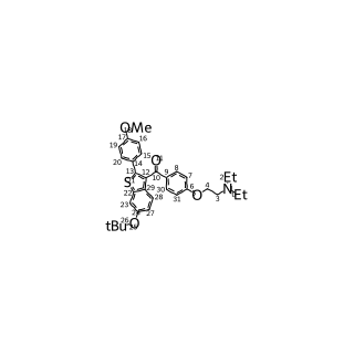 CCN(CC)CCOc1ccc(C(=O)c2c(-c3ccc(OC)cc3)sc3cc(OC(C)(C)C)ccc23)cc1